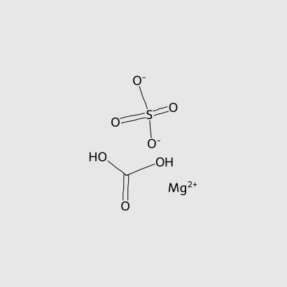 O=C(O)O.O=S(=O)([O-])[O-].[Mg+2]